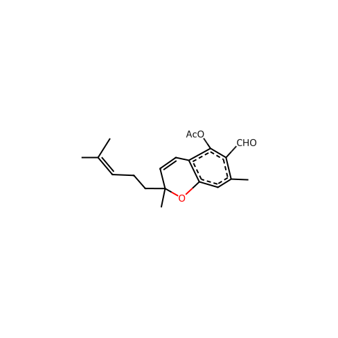 CC(=O)Oc1c(C=O)c(C)cc2c1C=CC(C)(CCC=C(C)C)O2